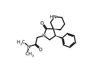 CN(C)C(=O)CN1C[C@H](c2ccccc2)[C@]2(CCCNC2)C1=O